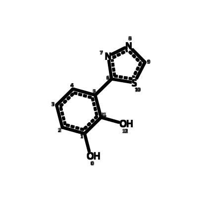 Oc1cccc(-c2nncs2)c1O